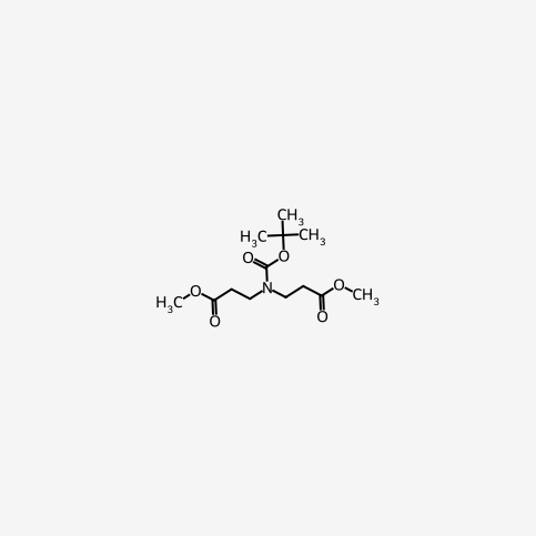 COC(=O)CCN(CCC(=O)OC)C(=O)OC(C)(C)C